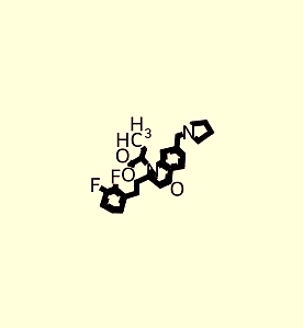 CCC(C(=O)O)n1c(CCc2cccc(F)c2F)cc(=O)c2ccc(CN3CCCC3)cc21